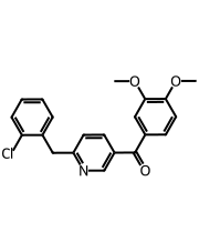 COc1ccc(C(=O)c2ccc(Cc3ccccc3Cl)nc2)cc1OC